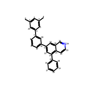 Cc1cc(C)cc(-c2cccc(-c3cc(-c4ccccc4)c4ccncc4c3)c2)c1